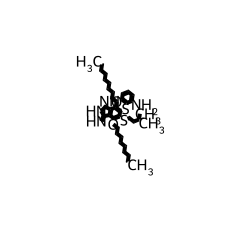 CCCCCCCCCOc1c(SCCC(C)C)c(Sc2ccccc2N)c(OCCCCCCCCC)c2c1C(=N)NC2=N